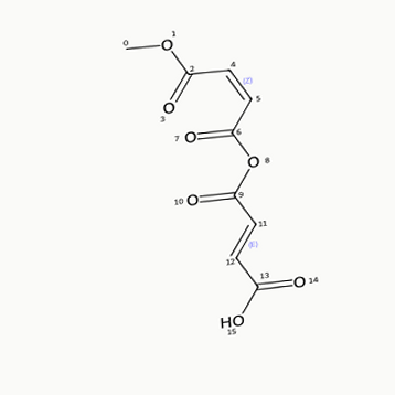 COC(=O)/C=C\C(=O)OC(=O)/C=C/C(=O)O